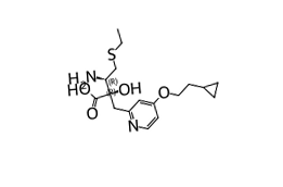 CCSC[C@H](N)[C@](O)(Cc1cc(OCCC2CC2)ccn1)C(=O)O